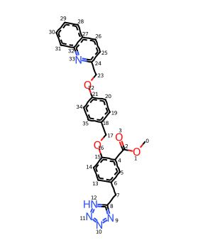 COC(=O)c1cc(Cc2nnn[nH]2)ccc1OCc1ccc(OCc2ccc3ccccc3n2)cc1